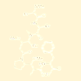 CCC(C)C(C(CC(=O)N1CCCC1C(OC)C(C)C(=O)NC(Cc1ccccc1)C(=O)C(C)C)OC)N(C)C(=O)C(NC(=O)C(NC)C(C)C)C(C)C